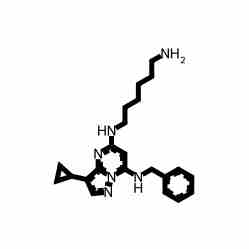 NCCCCCCNc1cc(NCc2ccccc2)n2ncc(C3CC3)c2n1